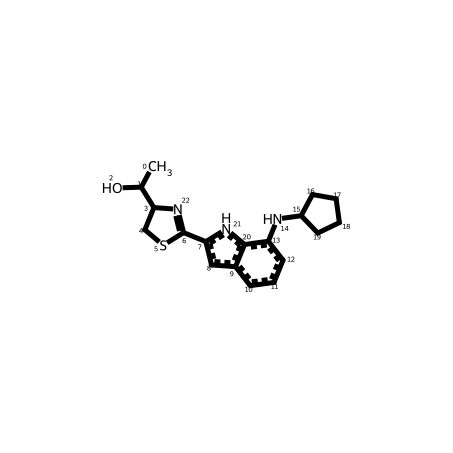 CC(O)C1CSC(c2cc3cccc(NC4CCCC4)c3[nH]2)=N1